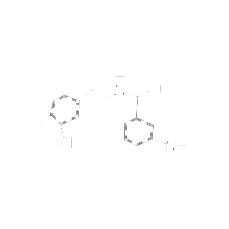 CCC(NCCc1ccc(C)c(Cl)c1)c1cccc(N)c1